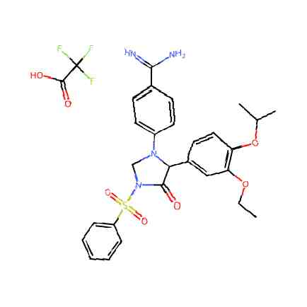 CCOc1cc(C2C(=O)N(S(=O)(=O)c3ccccc3)CN2c2ccc(C(=N)N)cc2)ccc1OC(C)C.O=C(O)C(F)(F)F